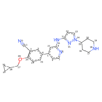 N#Cc1cc(-c2ccnc(Nc3ccn(C4CCNCC4)n3)c2)ccc1OCC1CC1